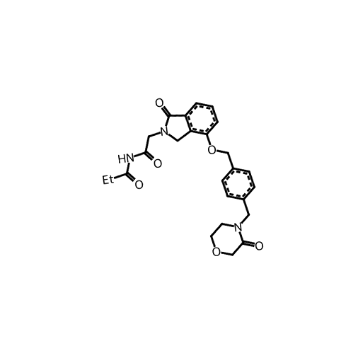 CCC(=O)NC(=O)CN1Cc2c(OCc3ccc(CN4CCOCC4=O)cc3)cccc2C1=O